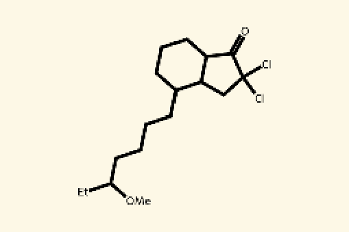 CCC(CCCCC1CCCC2C(=O)C(Cl)(Cl)CC12)OC